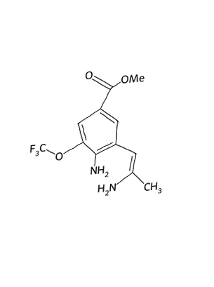 COC(=O)c1cc(/C=C(/C)N)c(N)c(OC(F)(F)F)c1